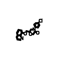 O=C1COC(COc2cccc3cccnc23)CN1c1ccc(Cl)cc1